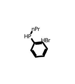 Br.CCCPc1ccccc1